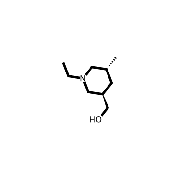 CCN1C[C@H](C)C[C@@H](CO)C1